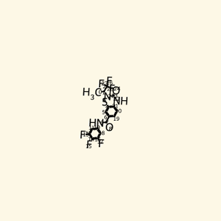 CC(N1Sc2cc(C(=O)Nc3cc(F)c(F)c(F)c3)ccc2NC1=O)C(F)(F)F